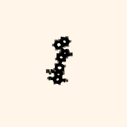 N[C@@H]1c2c(F)ccc(F)c2CC12CCN(c1cnc3c(N4CCCc5ncccc54)n[nH]c3n1)CC2